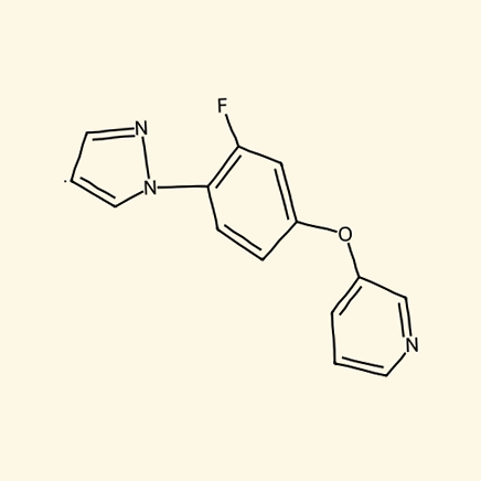 Fc1cc(Oc2cccnc2)ccc1-n1c[c]cn1